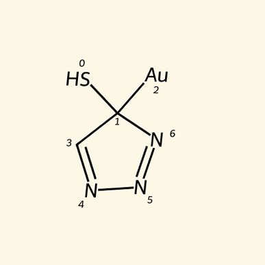 S[C]1([Au])C=NN=N1